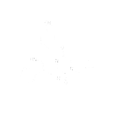 Cc1ccc([C@H]2c3[nH]c4ccccc4c3C[C@@H]3C(=O)N(CC4CC4)CC(=O)N23)cc1